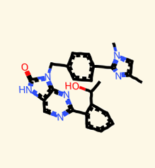 Cc1cn(C)c(-c2ccc(Cn3c(=O)[nH]c4cnc(-c5ccccc5C(C)O)nc43)cc2)n1